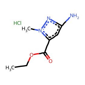 CCOC(=O)c1cc(N)nn1C.Cl